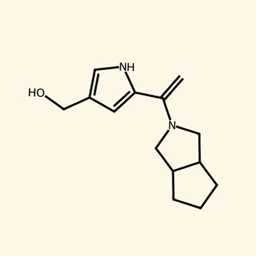 C=C(c1cc(CO)c[nH]1)N1CC2CCCC2C1